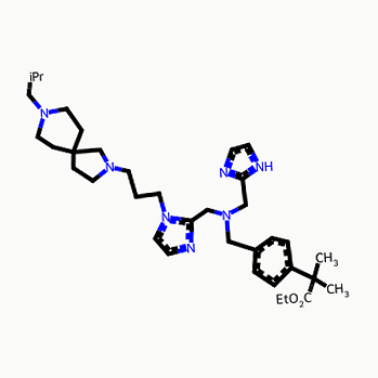 CCOC(=O)C(C)(C)c1ccc(CN(Cc2ncc[nH]2)Cc2nccn2CCCN2CCC3(CCN(CC(C)C)CC3)C2)cc1